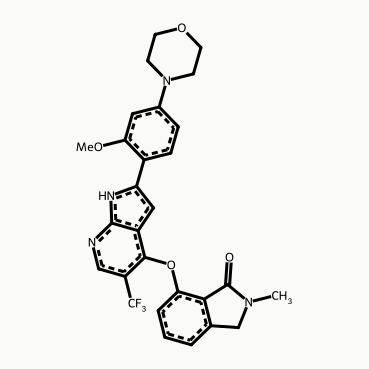 COc1cc(N2CCOCC2)ccc1-c1cc2c(Oc3cccc4c3C(=O)N(C)C4)c(C(F)(F)F)cnc2[nH]1